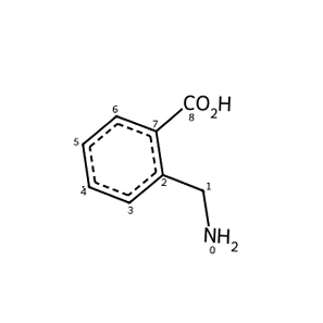 NCc1c[c]ccc1C(=O)O